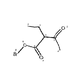 CCC(C(C)=O)C(=O)OBr